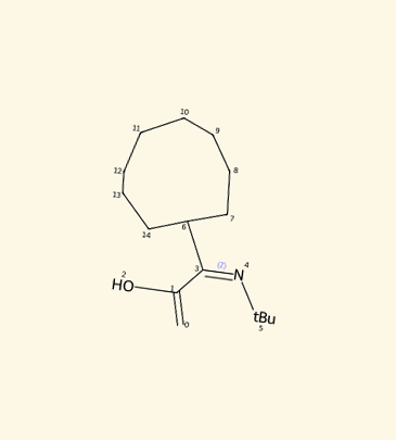 C=C(O)/C(=N\C(C)(C)C)C1CCCCCCCC1